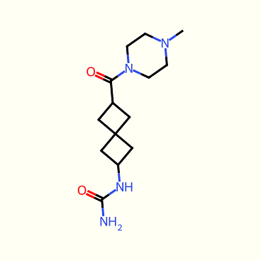 CN1CCN(C(=O)C2CC3(CC(NC(N)=O)C3)C2)CC1